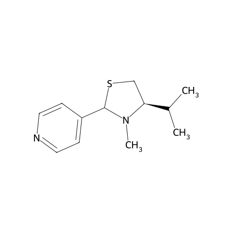 CC(C)[C@@H]1CSC(c2ccncc2)N1C